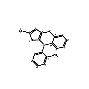 Cc1cc2c(o1)N(c1ccccc1C)c1ccccc1C2